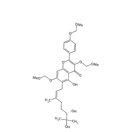 COCOc1ccc(-c2oc3cc(OCOC)c(C/C=C(/C)CC[C@H](O)C(C)(C)O)c(O)c3c(=O)c2OCOC)cc1